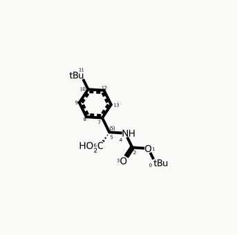 CC(C)(C)OC(=O)N[C@H](C(=O)O)c1ccc(C(C)(C)C)cc1